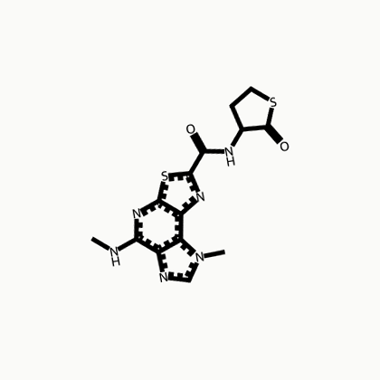 CNc1nc2sc(C(=O)NC3CCSC3=O)nc2c2c1ncn2C